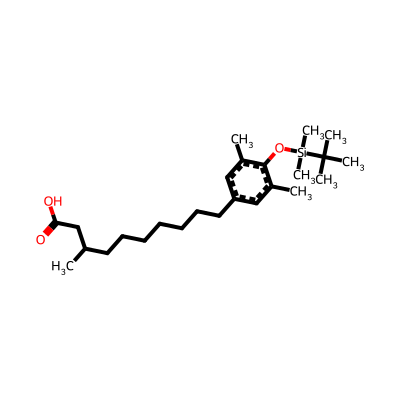 Cc1cc(CCCCCCCC(C)CC(=O)O)cc(C)c1O[Si](C)(C)C(C)(C)C